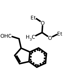 CCOC(C)OCC.O=CCC1C=Cc2ccccc21